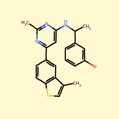 Cc1nc(NC(C)c2cccc(Br)c2)cc(-c2ccc3scc(C)c3c2)n1